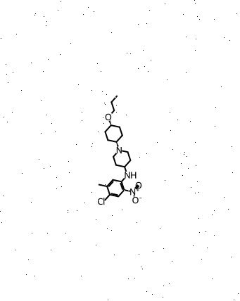 CCCO[C@H]1CC[C@@H](N2CCC(Nc3cc(C)c(Cl)cc3[N+](=O)[O-])CC2)CC1